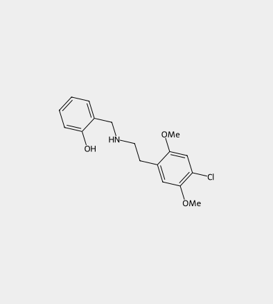 COc1cc(CCNCc2ccccc2O)c(OC)cc1Cl